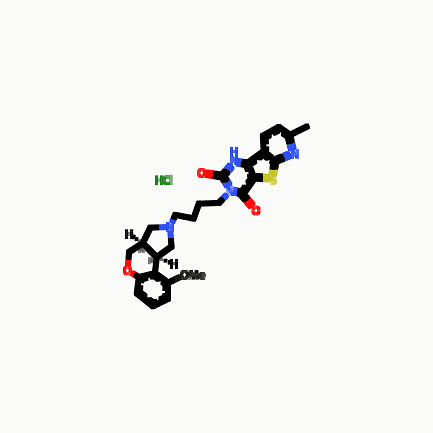 COc1cccc2c1[C@@H]1CN(CCCCn3c(=O)[nH]c4c(sc5nc(C)ccc54)c3=O)C[C@@H]1CO2.Cl